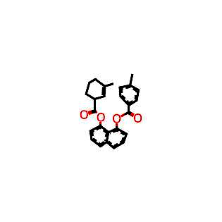 CC1=CC(C(=O)Oc2cccc3cccc(OC(=O)c4ccc(C)cc4)c23)CCC1